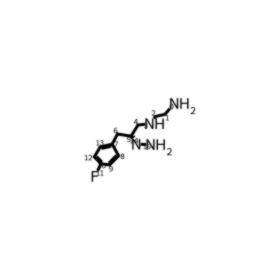 NCCNCC(Cc1ccc(F)cc1)=NN